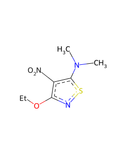 CCOc1nsc(N(C)C)c1[N+](=O)[O-]